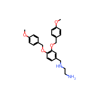 COc1ccc(COc2ccc(CNCCN)cc2OCc2ccc(OC)cc2)cc1